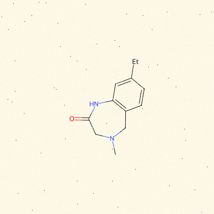 CCc1ccc2c(c1)NC(=O)CN(C)C2